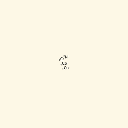 [Co].[Cr].[Cu].[Ni]